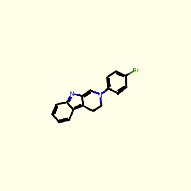 Brc1ccc(N2C=C3N=c4ccccc4=C3CC2)cc1